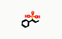 C/C=C(/c1ccccc1)P(=O)(O)O